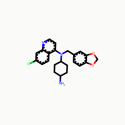 NC1CCC(N(Cc2ccc3c(c2)OCO3)c2ccnc3cc(Cl)ccc23)CC1